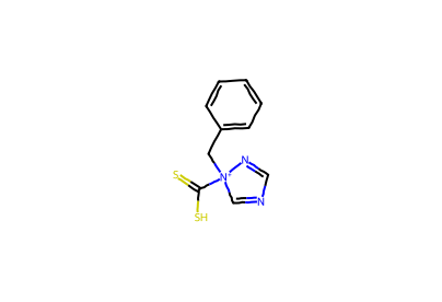 S=C(S)[N+]1(Cc2ccccc2)C=NC=N1